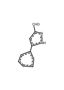 O=[C]c1cc(-c2ccccc2)[nH]n1